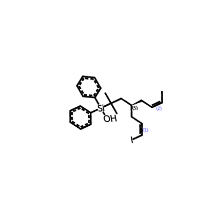 C/C=C\C[C@@H](C/C=C\I)CC(C)(C)[Si](O)(c1ccccc1)c1ccccc1